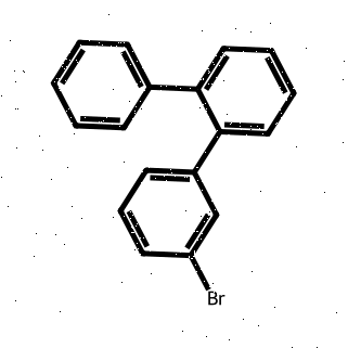 Brc1cccc(-c2ccccc2-c2ccccc2)c1